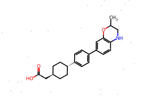 CC1CNc2ccc(-c3ccc([C@H]4CC[C@H](CC(=O)O)CC4)cc3)cc2O1